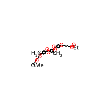 CCC(=O)OCCCCCCOc1ccc(C(=O)Oc2ccc(OC(=O)c3ccc(C(C)OCCCOCCCOC)cc3)cc2C)cc1